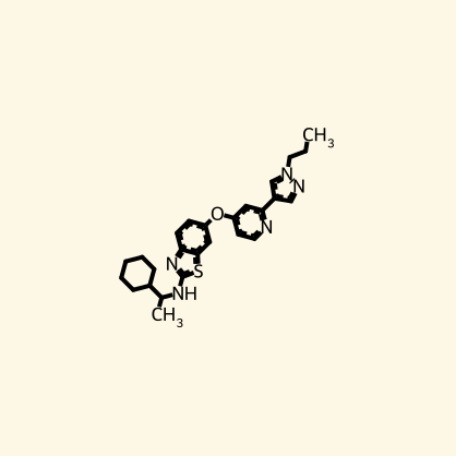 CCCn1cc(-c2cc(Oc3ccc4nc(NC(C)C5CCCCC5)sc4c3)ccn2)cn1